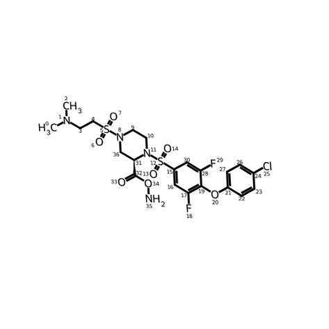 CN(C)CCS(=O)(=O)N1CCN(S(=O)(=O)c2cc(F)c(Oc3ccc(Cl)cc3)c(F)c2)[C@@H](C(=O)ON)C1